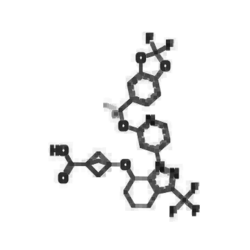 C[C@@H](Oc1cc(-n2nc(C(F)(F)F)c3c2C(OC24CC(C(=O)O)(C2)C4)CCC3)ccn1)c1ccc2c(c1)OC(F)(F)O2